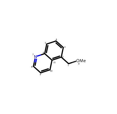 COCc1cccc2ncccc12